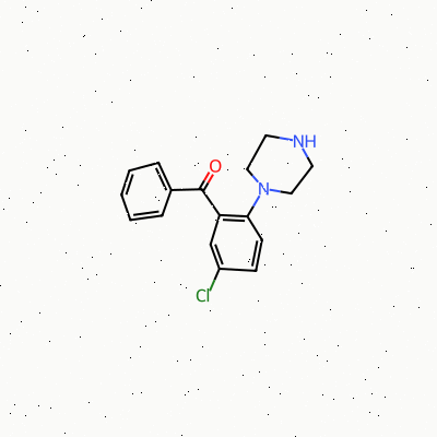 O=C(c1ccccc1)c1cc(Cl)ccc1N1CCNCC1